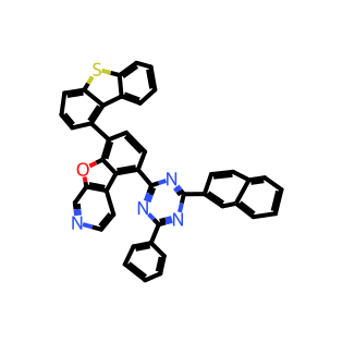 c1ccc(-c2nc(-c3ccc4ccccc4c3)nc(-c3ccc(-c4cccc5sc6ccccc6c45)c4oc5cnccc5c34)n2)cc1